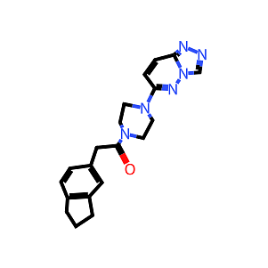 O=C(Cc1ccc2c(c1)CCC2)N1CCN(c2ccc3nncn3n2)CC1